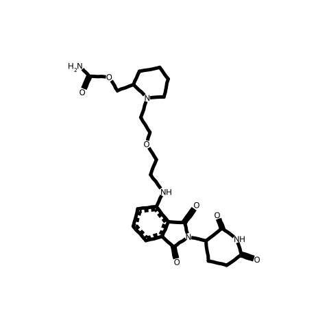 NC(=O)OCC1CCCCN1CCOCCNc1cccc2c1C(=O)N(C1CCC(=O)NC1=O)C2=O